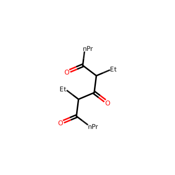 CCCC(=O)C(CC)C(=O)C(CC)C(=O)CCC